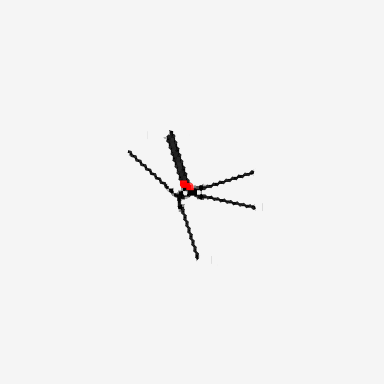 CCCCCCCCCCCCCCCCCOCOCC(COCC(COC(=O)CCCCCCCCCCCCCCCCC)(COC(=O)CCCCCCCCCCCCCCCCC)COC(=O)CCCCCCCCCCCCCCCCC)(COC(=O)CCCCCCCCCCCCCCCCC)COC(=O)CCCCCCCCCCCCCCCCC